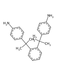 CC(C)(c1ccc(N)cc1)c1ccccc1C(C)(C)c1ccc(N)cc1